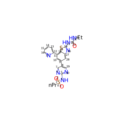 CCCS(=O)(=O)Nc1ncc(-c2cc(-c3ccccn3)c3sc(NC(=O)NCC)nc3c2)cn1